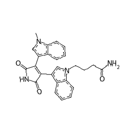 Cn1cc(C2=C(c3cn(CCCC(N)=O)c4ccccc34)C(=O)NC2=O)c2ccccc21